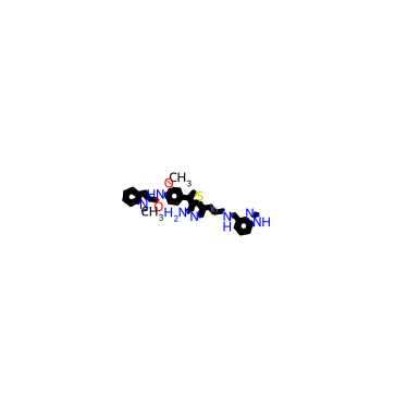 COc1cc(-c2csc3c(/C=C/CNCc4cccc5[nH]cnc45)cnc(N)c23)ccc1NC(=O)c1cc2ccccc2n1C